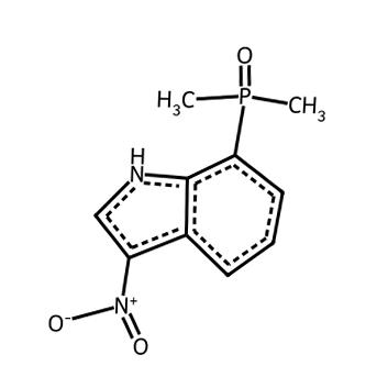 CP(C)(=O)c1cccc2c([N+](=O)[O-])c[nH]c12